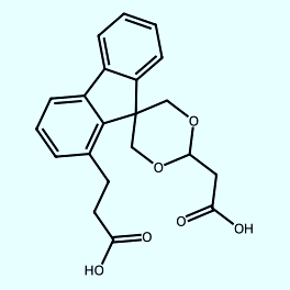 O=C(O)CCc1cccc2c1C1(COC(CC(=O)O)OC1)c1ccccc1-2